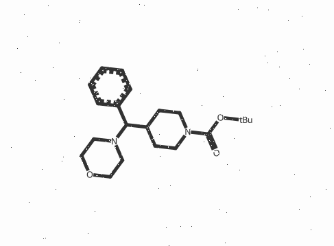 CC(C)(C)OC(=O)N1CCC(C(c2ccccc2)N2CCOCC2)CC1